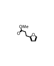 COC(=O)CCc1ccco1